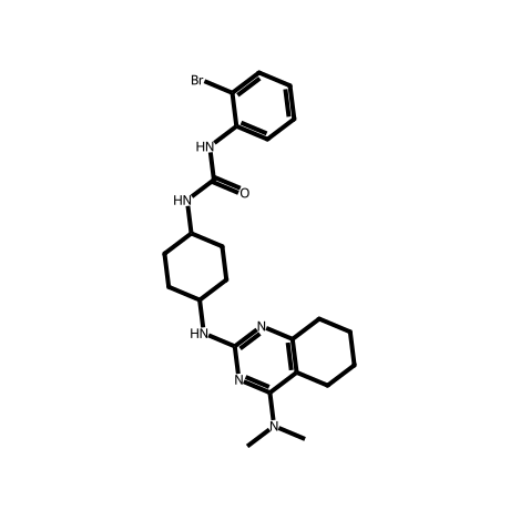 CN(C)c1nc(NC2CCC(NC(=O)Nc3ccccc3Br)CC2)nc2c1CCCC2